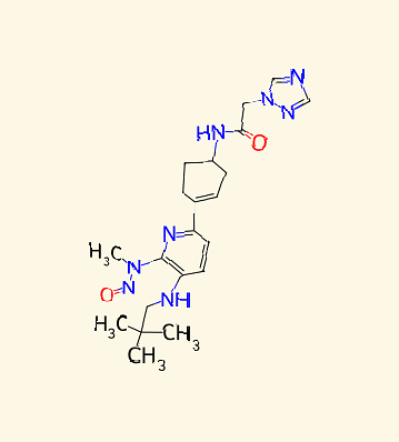 CN(N=O)c1nc(C2=CCC(NC(=O)Cn3cncn3)CC2)ccc1NCC(C)(C)C